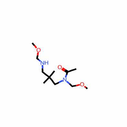 COCNCC(C)(C)CN(COC)C(C)=O